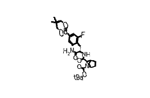 CC1(C)COB(c2ccc(C[C@H](NC(=O)C3C4CCC(C4)N3C(=O)OC(C)(C)C)C(N)=O)c(F)c2)OC1